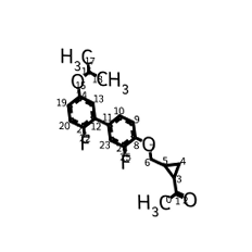 CC(=O)C1CC1COc1ccc(-c2cc(OC(C)C)ccc2F)cc1F